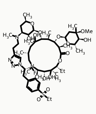 CC[C@H]1OC(=O)[C@H](C)[C@@H](O[C@H]2C[C@@](C)(OC)[C@@H](O)[C@H](C)O2)[C@H](C)[C@@H](O[C@@H]2O[C@H](C)C[C@H](N(C)CCc3cn([C@H](CF)Cc4ccc(S(=O)(=O)CC)cc4)nn3)[C@H]2O)[C@](C)(O)C[C@@H](C)CN(C)[C@H](C)[C@@H](O)[C@]1(C)O